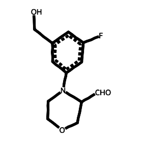 O=CC1COCCN1c1cc(F)cc(CO)c1